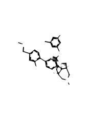 CNCc1ccc(-c2ccc([C@@]3(O)[C@@H]4CN(C)C[C@H]3CN(C(=O)Nc3cc(F)cc(F)c3)C4)cc2)c(F)c1